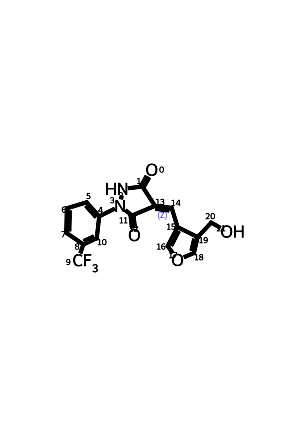 O=C1NN(c2cccc(C(F)(F)F)c2)C(=O)/C1=C\c1cocc1CO